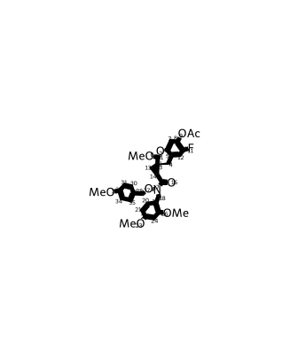 COC(=O)[C@@]1(Cc2ccc(OC(C)=O)c(F)c2)CC1C(=O)N(Cc1ccc(OC)cc1OC)OCc1ccc(OC)cc1